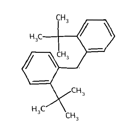 CC(C)(C)c1ccccc1[CH]c1ccccc1C(C)(C)C